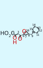 O=C(O)/C(O)=C/C(=O)c1cc(Cc2ccccc2)co1